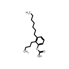 CCCCCCCc1cccc(OC(=O)O)c1CCCC